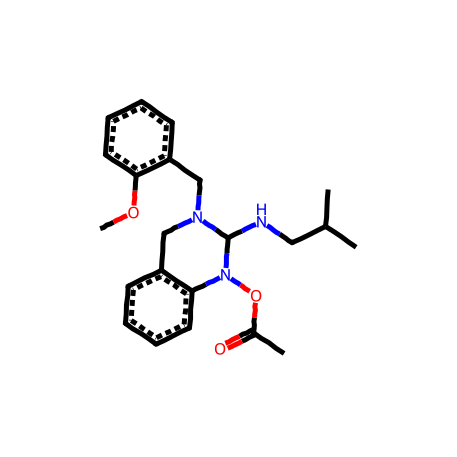 COc1ccccc1CN1Cc2ccccc2N(OC(C)=O)C1NCC(C)C